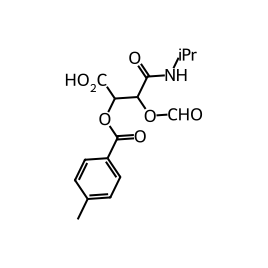 Cc1ccc(C(=O)OC(C(=O)O)C(OC=O)C(=O)NC(C)C)cc1